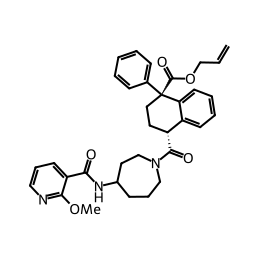 C=CCOC(=O)[C@]1(c2ccccc2)CC[C@@H](C(=O)N2CCCC(NC(=O)c3cccnc3OC)CC2)c2ccccc21